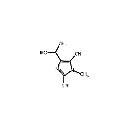 CC(O)c1nc(C#N)n(C)c1C#N